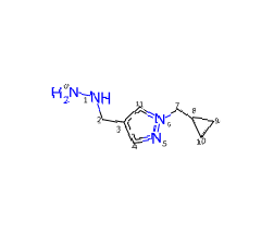 NNCc1cnn(CC2CC2)c1